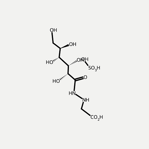 O=C(O)CNNC(=O)[C@H](O)[C@@H](O)[C@H](O)[C@H](O)CO.O=S(=O)(O)O